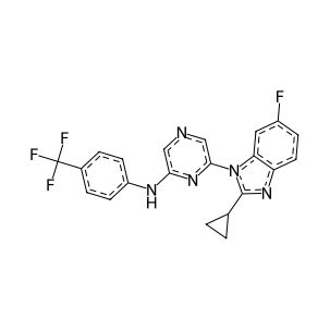 Fc1ccc2nc(C3CC3)n(-c3cncc(Nc4ccc(C(F)(F)F)cc4)n3)c2c1